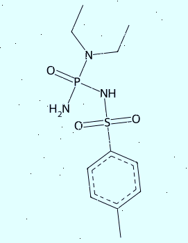 CCN(CC)P(N)(=O)NS(=O)(=O)c1ccc(C)cc1